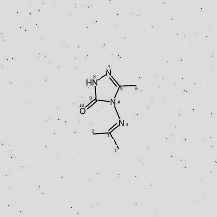 CC(C)=Nn1c(C)n[nH]c1=O